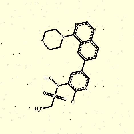 CCS(=O)(=O)N(C)c1cc(-c2ccc3ncnc(N4CCOCC4)c3c2)cnc1Cl